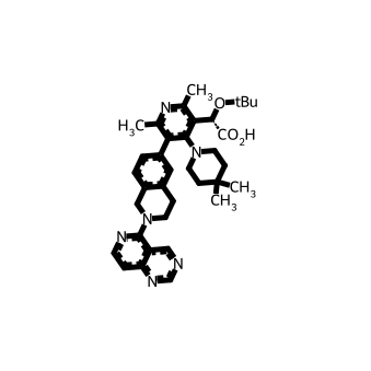 Cc1nc(C)c([C@H](OC(C)(C)C)C(=O)O)c(N2CCC(C)(C)CC2)c1-c1ccc2c(c1)CCN(c1nccc3ncncc13)C2